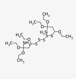 CCOC(CC([SiH3])(OCC)OCC)SSSSSC(CC([SiH3])(OCC)OCC)OCC